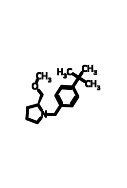 COC[C@@H]1CCCN1Cc1ccc(C(C)(C)C)cc1